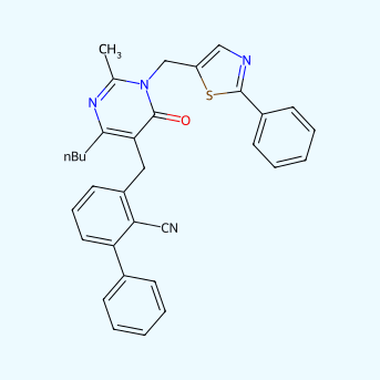 CCCCc1nc(C)n(Cc2cnc(-c3ccccc3)s2)c(=O)c1Cc1cccc(-c2ccccc2)c1C#N